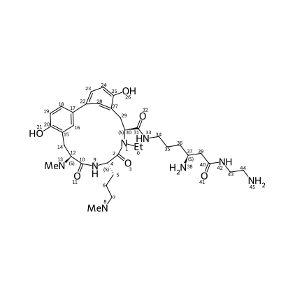 CCN1C(=O)[C@H](CCCNC)NC(=O)[C@@H](NC)Cc2cc(ccc2O)-c2ccc(O)c(c2)C[C@H]1C(=O)NCCC[C@H](N)CC(=O)NCCN